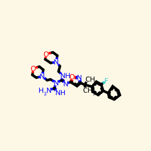 CC(C)(c1ccc(-c2ccccc2)c(F)c1)c1cc(/N=C(\NCCN2CCOCC2)N(CCN2CCOCC2)C(=N)N)on1